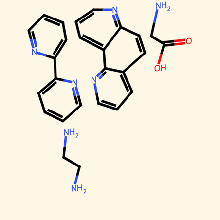 NCC(=O)O.NCCN.c1ccc(-c2ccccn2)nc1.c1cnc2c(c1)ccc1ncccc12